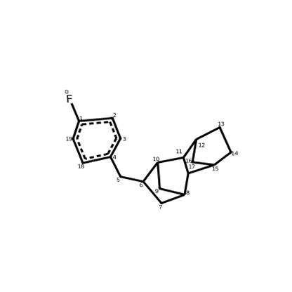 Fc1ccc(CC2CC3CC2C2C4CCC(C4)C32)cc1